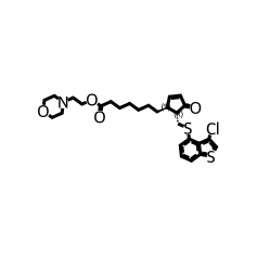 O=C(CCCCCC[C@H]1C=CC(=O)[C@@H]1CSc1cccc2scc(Cl)c12)OCCN1CCOCC1